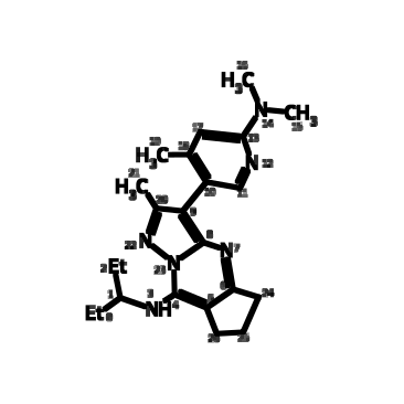 CCC(CC)Nc1c2c(nc3c(-c4cnc(N(C)C)cc4C)c(C)nn13)CCC2